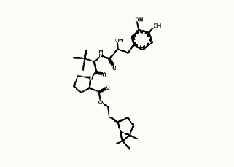 CC(C)(C)C(NC(=O)C(O)Cc1ccc(O)c(O)c1)C(=O)N1CCCC1C(=O)OCCC1CCC2(C)C1C2(C)C